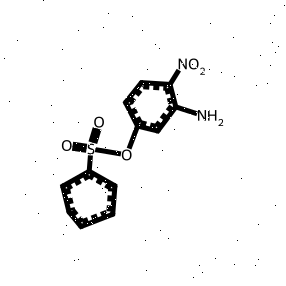 Nc1cc(OS(=O)(=O)c2ccccc2)ccc1[N+](=O)[O-]